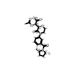 CC(=O)O[C@@H](C(=O)O)[C@H]1OCCN(c2cccc(C(=O)N3[C@H](C)CC[C@H]3C)c2)C1=O